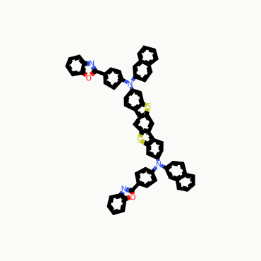 c1ccc2cc(N(c3ccc(-c4nc5ccccc5o4)cc3)c3ccc4c(c3)sc3cc5c(cc34)sc3cc(N(c4ccc(-c6nc7ccccc7o6)cc4)c4ccc6ccccc6c4)ccc35)ccc2c1